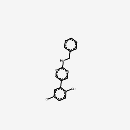 Oc1ccc(Cl)cc1-c1cnc(NCc2ccccc2)nc1